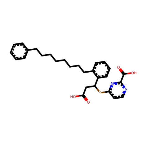 O=C(O)CC(Sc1ccnc(C(=O)O)n1)c1ccccc1CCCCCCCCc1ccccc1